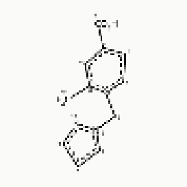 O=C(O)c1ccc(Cn2cccn2)c(C(F)(F)F)c1